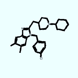 Cc1cc2nc(CC3CCN(C4CCCCC4)CC3)n(Cc3ccc(Cl)cc3)c2cc1C